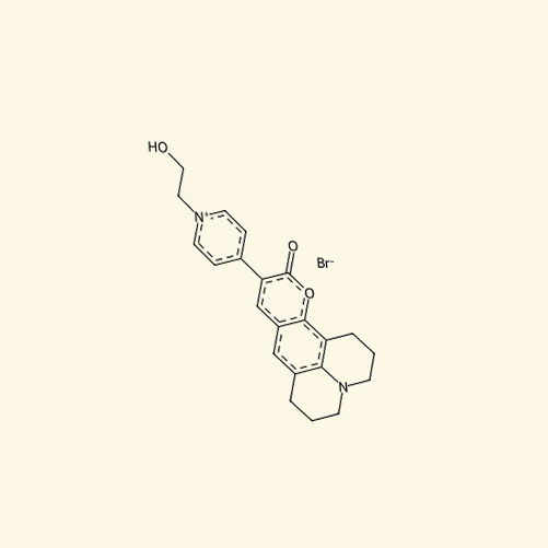 O=c1oc2c3c4c(cc2cc1-c1cc[n+](CCO)cc1)CCCN4CCC3.[Br-]